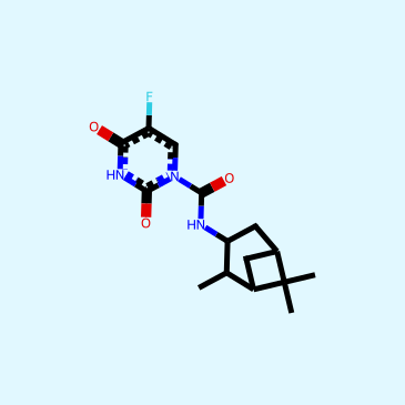 CC1C(NC(=O)n2cc(F)c(=O)[nH]c2=O)CC2CC1C2(C)C